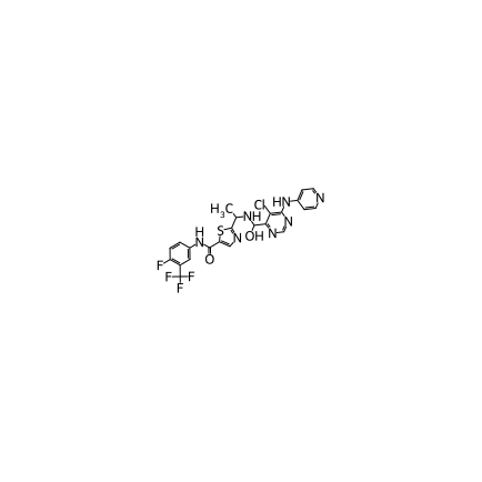 CC(NC(O)c1ncnc(Nc2ccncc2)c1Cl)c1ncc(C(=O)Nc2ccc(F)c(C(F)(F)F)c2)s1